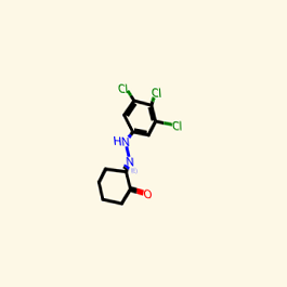 O=C1CCCC/C1=N\Nc1cc(Cl)c(Cl)c(Cl)c1